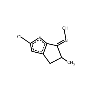 CC1Cc2cc(Cl)sc2C1=NO